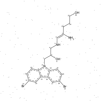 N/C(=C\NCC(O)Cn1c2ccc(Br)cc2c2cc(Br)ccc21)CCCO